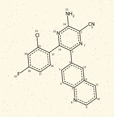 N#Cc1nc(-c2ccc3ncccc3c2)c(-c2ccc(F)cc2Cl)nc1N